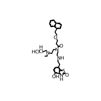 CCN(CC)CCN(CCNCCc1ccc(O)c2[nH]c(=O)sc12)C(=O)CCOCCc1cccc2ccccc12.Cl.Cl